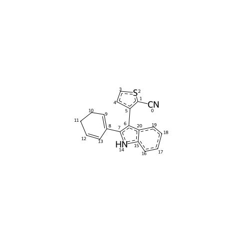 N#Cc1sccc1-c1c(C2=CCCC=C2)[nH]c2ccccc12